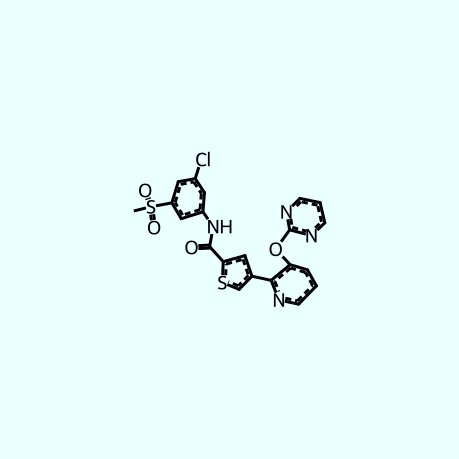 CS(=O)(=O)c1cc(Cl)cc(NC(=O)c2cc(-c3ncccc3Oc3ncccn3)cs2)c1